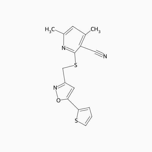 Cc1cc(C)c(C#N)c(SCc2cc(-c3cccs3)on2)n1